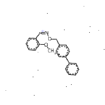 COc1ccccc1/[C]=N\OCc1ccc(-c2ccccc2)cc1